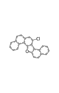 Clc1cc2ccc3ccccc3c2c2oc3ccc4ccccc4c3c12